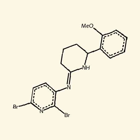 COc1ccccc1C1CCCC(=Nc2ccc(Br)nc2Br)N1